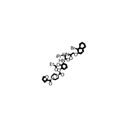 CCC(=O)Oc1c(NC(=O)[C@H](CC(C)C)NC(=O)COc2ccc3ccccc3c2Br)cccc1OC(=O)N1CCN(C(=O)c2ccco2)CC1